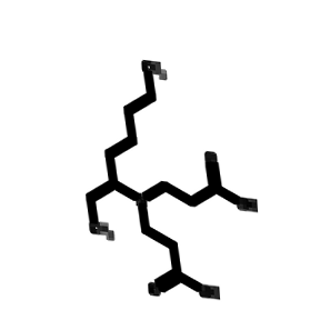 CCCCCC(CC)N(CCC(=O)O)CCC(=O)O